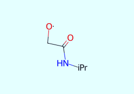 CC(C)NC(=O)C[O]